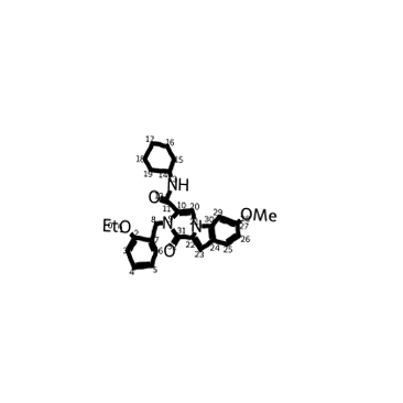 CCOc1ccccc1Cn1c(C(=O)NC2CCCCC2)cn2c(cc3ccc(OC)cc32)c1=O